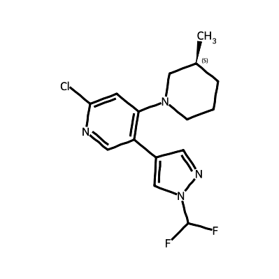 C[C@H]1CCCN(c2cc(Cl)ncc2-c2cnn(C(F)F)c2)C1